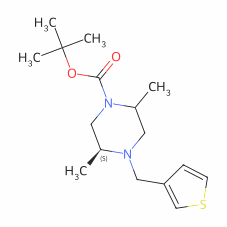 CC1CN(Cc2ccsc2)[C@@H](C)CN1C(=O)OC(C)(C)C